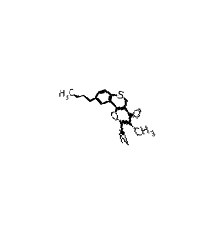 CCCCc1ccc2c(c1)-c1oc(C#N)c(C)c(=O)c1CS2